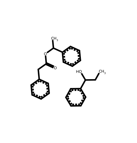 CC(OC(=O)Cc1ccccc1)c1ccccc1.CCC(O)c1ccccc1